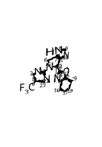 FC(F)(F)c1cnc(N2Cc3[nH]cnc3[C@H]2c2nc3ccccc3o2)nc1